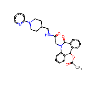 CC(=O)OC1c2ccccc2C(=O)N(CC(=O)NCC2CCN(c3ccccn3)CC2)c2ccccc21